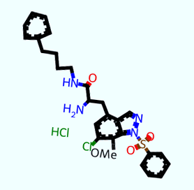 COc1c(Cl)cc(CC(N)C(=O)NCCCCc2ccccc2)c2cnn(S(=O)(=O)c3ccccc3)c12.Cl